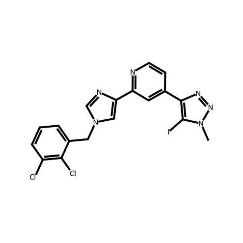 Cn1nnc(-c2ccnc(-c3cn(Cc4cccc(Cl)c4Cl)cn3)c2)c1I